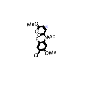 COC(=O)/C=C\C(=O)N(C(C)=O)c1cc(OC)c(Cl)cc1F